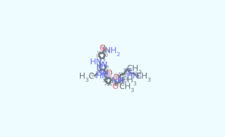 CCCNc1nc(Nc2ccc(C(N)=O)cc2)ncc1C(=O)Nc1cccc(NC(=O)[C@H](C)N(C)C(=O)/C=C/CN(C)CCNC)c1